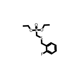 CCOP(=O)(CSCc1ccccc1F)OCC